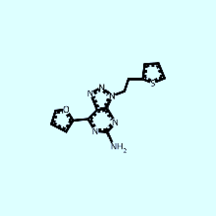 Nc1nc(-c2ccco2)c2nnn(CCc3cccs3)c2n1